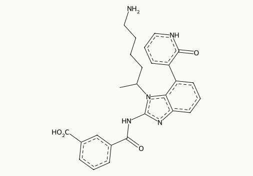 CC(CCCCN)n1c(NC(=O)c2cccc(C(=O)O)c2)nc2cccc(-c3ccc[nH]c3=O)c21